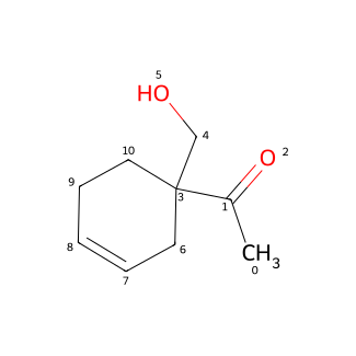 CC(=O)C1(CO)CC=CCC1